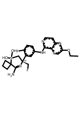 CCOc1cnc2c(Nc3ccc(F)c([C@@]4(CF)CS(O)(O)C5(CCC5)C(N)=N4)c3)nccc2n1